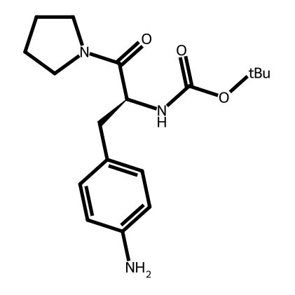 CC(C)(C)OC(=O)N[C@@H](Cc1ccc(N)cc1)C(=O)N1CCCC1